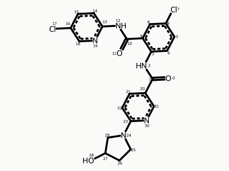 O=C(Nc1ccc(Cl)cc1C(=O)Nc1ccc(Cl)cn1)c1ccc(N2CCC(O)C2)nc1